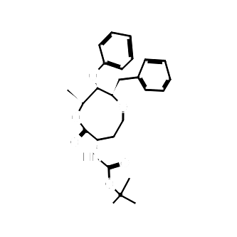 C[C@@H]1OC(=O)[C@@H](NC(=O)OC(C)(C)C)CCO[C@H](Cc2ccccc2)[C@H]1Oc1ccccc1